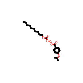 CCCCCCCCCCOC(=O)OOOC(=O)c1ccc(OC(C)C)cc1